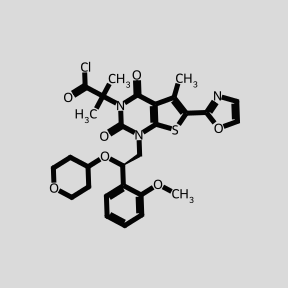 COc1ccccc1[C@H](Cn1c(=O)n(C(C)(C)C(=O)Cl)c(=O)c2c(C)c(-c3ncco3)sc21)OC1CCOCC1